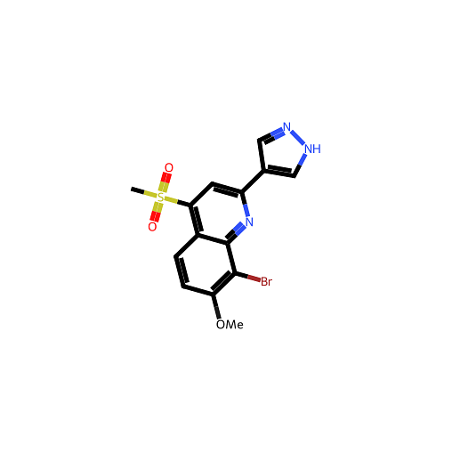 COc1ccc2c(S(C)(=O)=O)cc(-c3cn[nH]c3)nc2c1Br